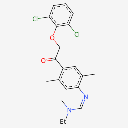 CCN(C)/C=N\c1cc(C)c(C(=O)COc2c(Cl)cccc2Cl)cc1C